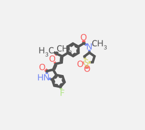 CN(C(=O)c1ccc(C2=CC(=C3C(=O)Nc4cc(F)ccc43)OC2(C)C)cc1)C1CCS(=O)(=O)C1